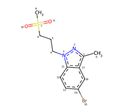 Cc1nn(CCCS(C)(=O)=O)c2ccc(Br)cc12